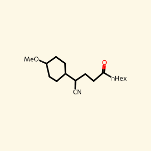 CCCCCCC(=O)CCC(C#N)C1CCC(OC)CC1